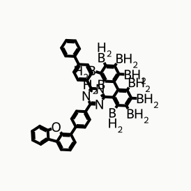 Bc1c(B)c(B)c(-c2c(B)c(B)c(B)c(B)c2-c2nc(-c3ccc(-c4ccccc4)cc3)nc(-c3ccc(-c4cccc5c4oc4ccccc45)cc3)n2)c(B)c1B